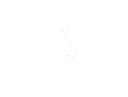 OC[C@H]1O[C@@H](n2cnc3c(N[C@H]4CCN(c5ccccn5)C4)ncnc32)[C@H](O)[C@@H]1O